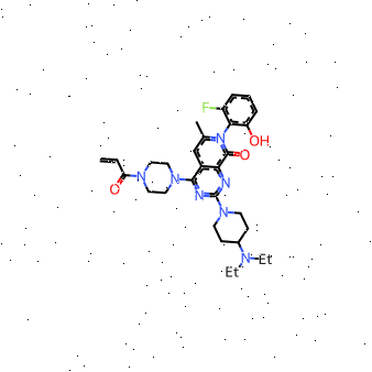 C=CC(=O)N1CCN(c2nc(N3CCC(N(CC)CC)CC3)nc3c(=O)n(-c4c(O)cccc4F)c(C)cc23)CC1